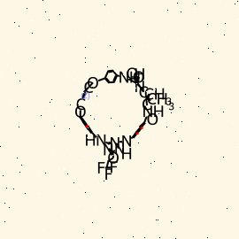 CC1(C)CNC(=O)C(=O)Nc2ccc(cc2)OC/C=C\COc2ccc(cc2)CNc2nc(nc(OCC(F)(F)F)n2)Nc2ccc(cc2)C(=O)NC1